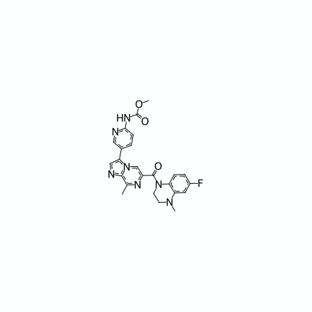 COC(=O)Nc1ccc(-c2cnc3c(C)nc(C(=O)N4CCN(C)c5cc(F)ccc54)cn23)cn1